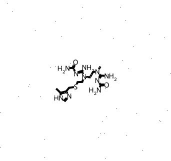 Cc1[nH]cnc1CSCCN(CCN(C)C(N)=NC(N)=O)C(N)=NC(N)=O